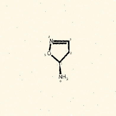 N[C@@H]1CC=NO1